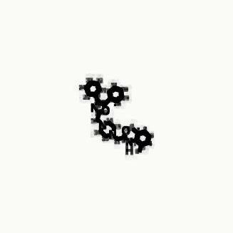 Cc1cccc(C)c1NC(=O)CN1CCN(Cc2nc(-c3ccccc3)c(-c3ccccc3)o2)CC1